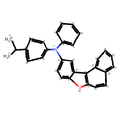 CC(C)c1ccc(N(c2ccccc2)c2ccc3oc4ccc5ccccc5c4c3c2)cc1